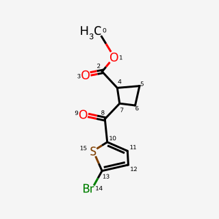 COC(=O)C1CCC1C(=O)c1ccc(Br)s1